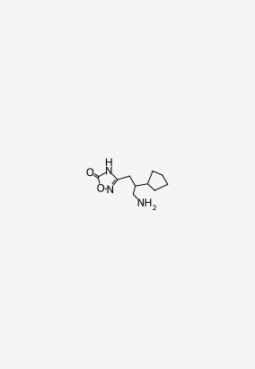 NCC(Cc1noc(=O)[nH]1)C1CCCC1